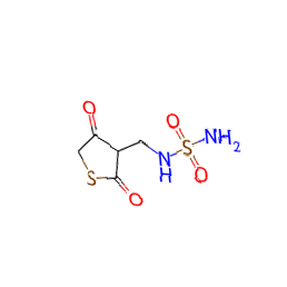 NS(=O)(=O)NCC1C(=O)CSC1=O